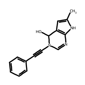 Cc1cc2c([nH]1)N=CN(C#Cc1ccccc1)C2O